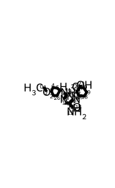 CCO[C@H]1CC[C@H](Nc2ncc(C(N)=O)c(N[C@H]3CCC[C@](C)(O)C3)n2)CC1